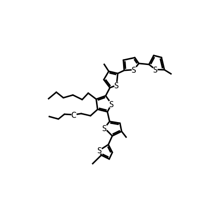 CCCCCCc1c(-c2cc(C)c(-c3ccc(C)s3)s2)sc(-c2cc(C)c(-c3ccc(-c4ccc(C)s4)s3)s2)c1CCCCCC